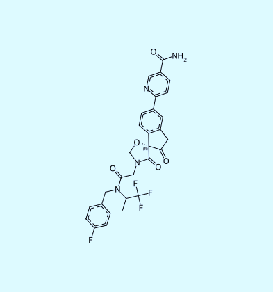 CC(N(Cc1ccc(F)cc1)C(=O)CN1CO[C@]2(C(=O)Cc3cc(-c4ccc(C(N)=O)cn4)ccc32)C1=O)C(F)(F)F